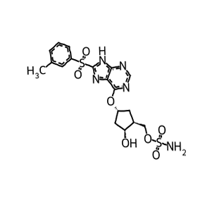 Cc1cccc(S(=O)(=O)c2nc3c(O[C@@H]4C[C@@H](COS(N)(=O)=O)[C@@H](O)C4)ncnc3[nH]2)c1